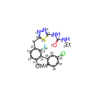 CCNC(=O)Nc1nnc(Cc2ccc(OC)c(-c3cccc(Cl)c3)c2F)s1